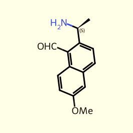 COc1ccc2c(C=O)c([C@H](C)N)ccc2c1